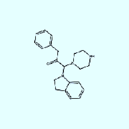 O=C(Cc1ccccc1)C(N1CCNCC1)N1CCc2ccccc21